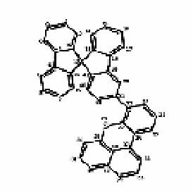 c1ccc2c(c1)-c1ccccc1C21c2ccccc2-c2cc(-c3cccc4c3Sc3cccc5cccc-4c35)ccc21